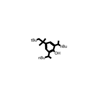 CCCCC(C)c1cc(C(C)(C)CC(C)(C)C)cc(C(C)CCCC)c1O